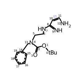 CC(C)(C)OC(=O)N(CCNC(=N)/C=C\N)Cc1ccccc1